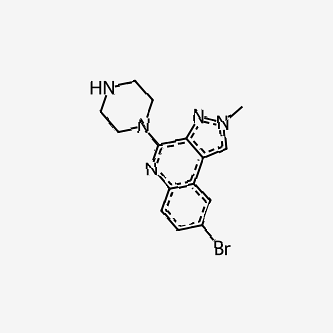 Cn1cc2c(n1)c(N1CCNCC1)nc1ccc(Br)cc12